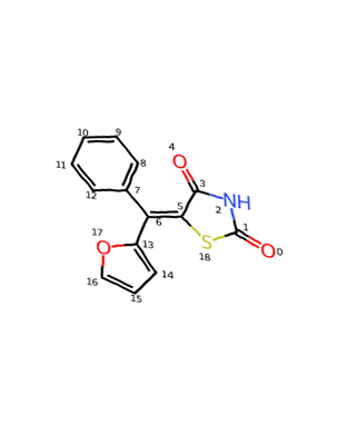 O=C1NC(=O)C(=C(c2ccccc2)c2ccco2)S1